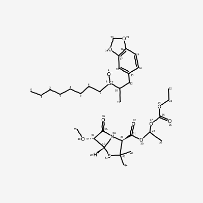 CCCCCCCC[S+]([O-])C(C)Cc1ccc2c(c1)OCO2.CCOC(=O)OC(C)OC(=O)[C@@H]1N2C(=O)[C@@H](OC)[C@H]2SC1(C)C